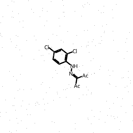 CC(=O)C(=NNc1ccc(Cl)cc1Cl)C(C)=O